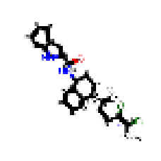 C=C(/C=C\C(Cl)=C(/C)Cl)[C@@H]1CCC(NC(=O)c2cc3ccccc3[nH]2)c2ccccc21